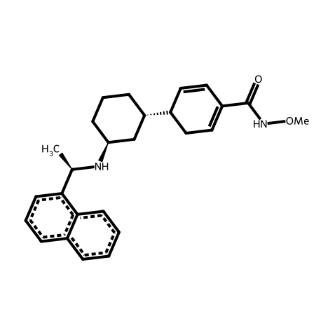 CONC(=O)C1=CCC([C@H]2CCC[C@H](N[C@H](C)c3cccc4ccccc34)C2)C=C1